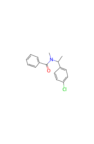 CC(c1ccc(Cl)cc1)N(C)C(=O)c1ccccc1